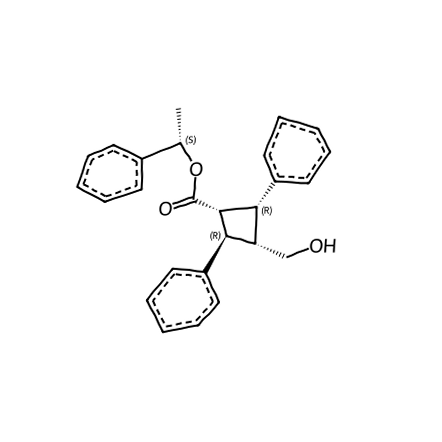 C[C@H](OC(=O)[C@H]1[C@H](c2ccccc2)[C@@H](CO)[C@H]1c1ccccc1)c1ccccc1